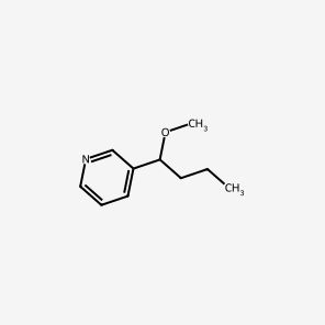 CCCC(OC)c1cccnc1